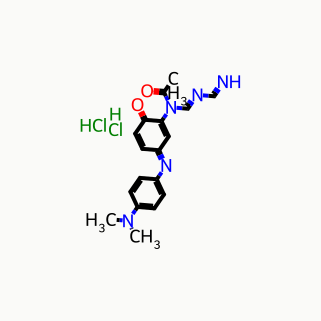 CC(=O)N(C=NC=N)C1=CC(=Nc2ccc(N(C)C)cc2)C=CC1=O.Cl.Cl